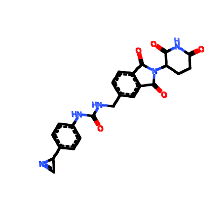 O=C1CCC(N2C(=O)c3ccc(CNC(=O)Nc4ccc(C5C=N5)cc4)cc3C2=O)C(=O)N1